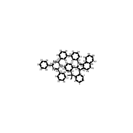 CC1(C)c2ccccc2-c2c(n(-c3cccc(-c4cccc(C5N=C(c6ccccc6)N=C(c6ccccc6)N5)c4)c3)c3c2ccc2ccccc23)-c2ccccc21